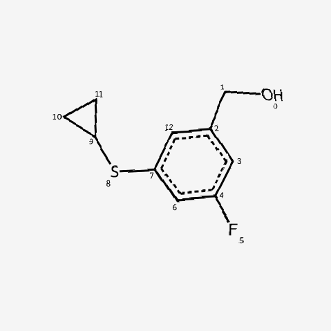 OCc1cc(F)cc(SC2CC2)c1